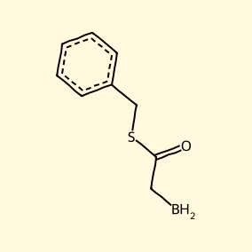 BCC(=O)SCc1ccccc1